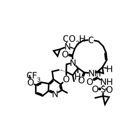 Cc1nc2ccc(OC(F)(F)F)cc2c2c1O[C@@]1(CC2)CN2C(=O)[C@@H](N(C(=O)O)C3CC3)CCCCC/C=C\[C@@H]3C[C@@]3(C(=O)NS(=O)(=O)C3(C)CC3)NC(=O)[C@@H]2C1C